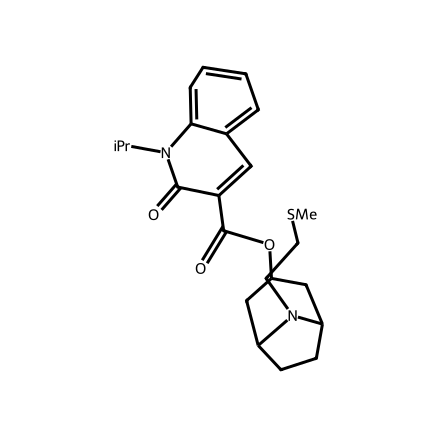 CSCCN1C2CCC1CC(OC(=O)c1cc3ccccc3n(C(C)C)c1=O)C2